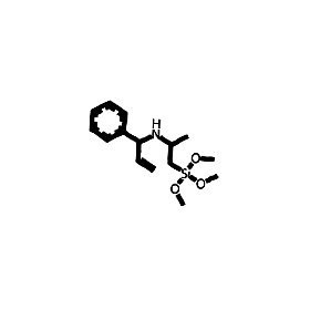 C=CC(NC(C)C[Si](OC)(OC)OC)c1ccccc1